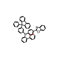 c1ccc(-c2ccccc2N(c2ccc(-c3nc4ccccc4o3)cc2)c2cccc(C3(c4ccccc4)c4ccccc4-c4ccccc43)c2)cc1